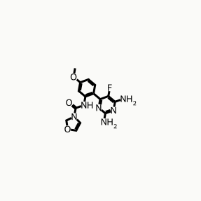 COc1ccc(-c2nc(N)nc(N)c2F)c(NC(=O)N2C=COC2)c1